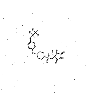 CC[C@]1(CS(=O)(=O)N2CCC(Oc3ccc(OC(F)(F)C(F)(F)F)cc3)CC2)NC(=O)NC1=O